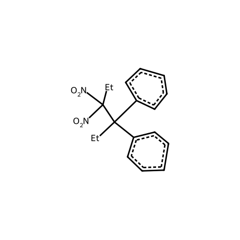 CCC(c1ccccc1)(c1ccccc1)C(CC)([N+](=O)[O-])[N+](=O)[O-]